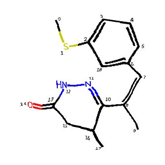 CSc1cccc(C=C(C)C2=NNC(=O)CC2C)c1